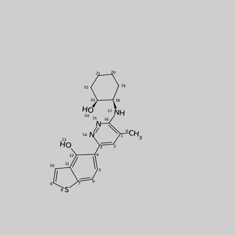 Cc1cc(-c2ccc3sccc3c2O)nnc1N[C@@H]1CCCC[C@@H]1O